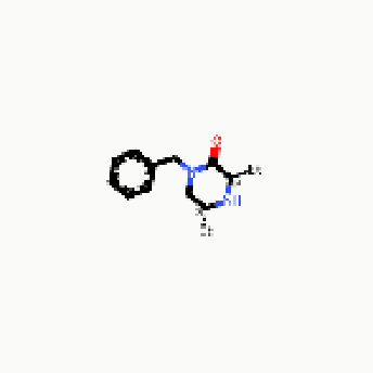 CC[C@@H]1CN(Cc2ccccc2)C(=O)[C@@H](CC)N1